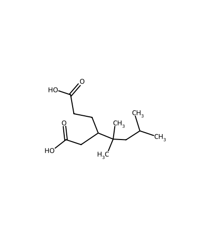 CC(C)CC(C)(C)C(CCC(=O)O)CC(=O)O